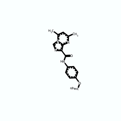 CCCCCOc1ccc(NC(=O)c2ncn3c(C)cc(C)nc23)cc1